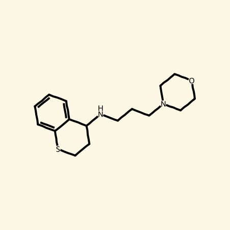 c1ccc2c(c1)SCCC2NCCCN1CCOCC1